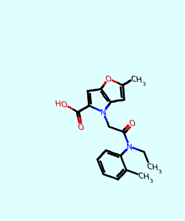 CCN(C(=O)Cn1c(C(=O)O)cc2oc(C)cc21)c1ccccc1C